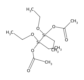 CCO[Si](CC)(OC(C)=O)[Si](CC)(OCC)OC(C)=O